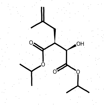 C=C(C)C[C@H](C(=O)OC(C)C)[C@@H](O)C(=O)OC(C)C